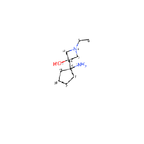 CCN1CC(O)(C2(N)CCCC2)C1